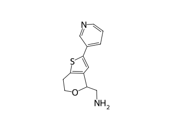 NCC1OCCc2sc(-c3cccnc3)cc21